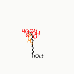 CCCCCCCCC=CCCCCCCCC(=O)C(O)([PH2]=O)C(O)CO